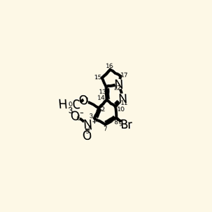 COc1c([N+](=O)[O-])cc(Br)c2nn3c(c12)CCC3